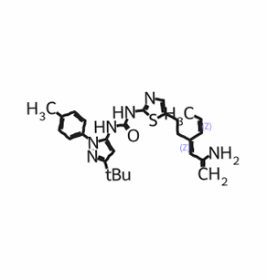 C=C(N)/C=C(\C=C/C)CCc1cnc(NC(=O)Nc2cc(C(C)(C)C)nn2-c2ccc(C)cc2)s1